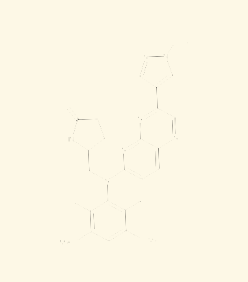 COc1cc(OC)c(F)c(N(CC2CCC(=O)N2)c2ccc3ncc(-c4cnn(C)c4)nc3n2)c1F